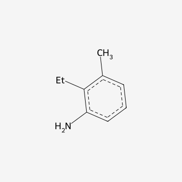 CCc1c(C)cccc1N